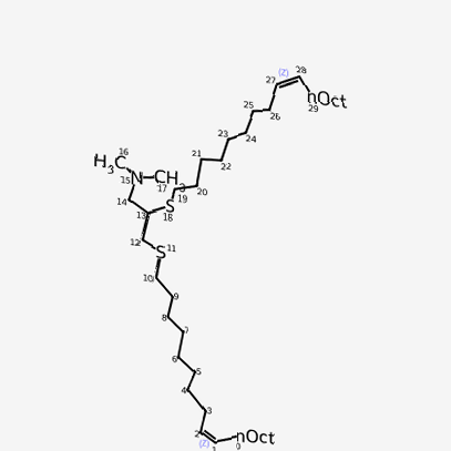 CCCCCCCC/C=C\CCCCCCCCSCC(CN(C)C)SCCCCCCCC/C=C\CCCCCCCC